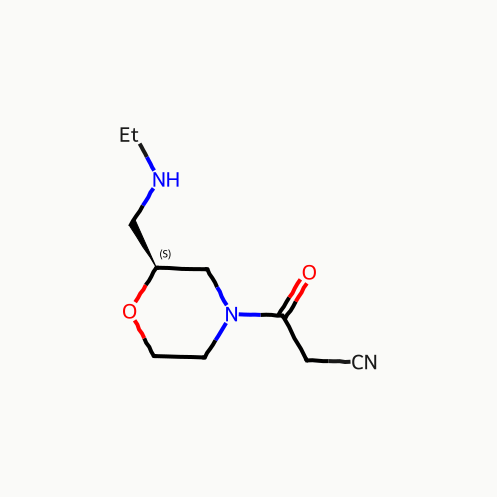 CCNC[C@H]1CN(C(=O)CC#N)CCO1